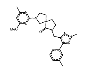 COc1cc(C)nc(N2CCC3(CCN(Cc4nn(C)nc4-c4cccc(C)c4)C3=O)C2)n1